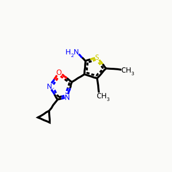 Cc1sc(N)c(-c2nc(C3CC3)no2)c1C